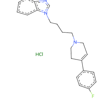 Cl.Fc1ccc(C2=CCN(CCCCn3cnc4ccccc43)CC2)cc1